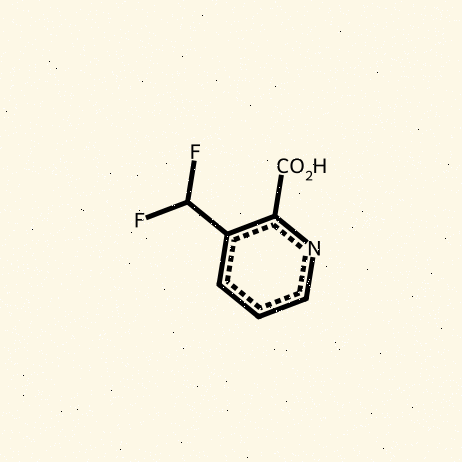 O=C(O)c1ncccc1C(F)F